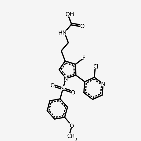 COc1cccc(S(=O)(=O)n2cc(CCNC(=O)O)c(F)c2-c2cccnc2Cl)c1